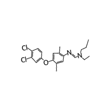 CCCN(C=Nc1cc(C)c(Oc2ccc(Cl)c(Cl)c2)cc1C)CC